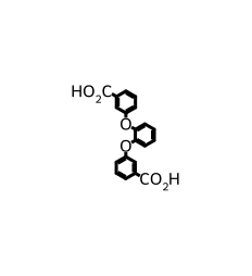 O=C(O)c1cccc(Oc2ccccc2Oc2cccc(C(=O)O)c2)c1